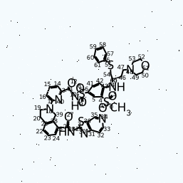 CS(=O)(=O)c1cc(S(=O)(=O)NC(=O)c2cccc(N3CCc4cccc(C(=O)Nc5nc6ccncc6s5)c4C3)n2)ccc1N[C@H](CCN1CCOCC1)CSc1ccccc1